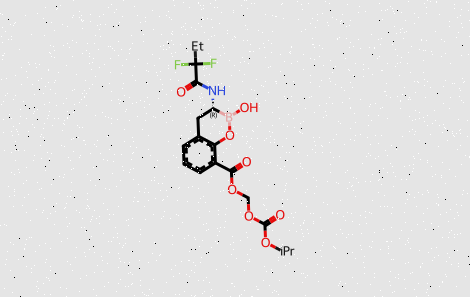 CCC(F)(F)C(=O)N[C@H]1Cc2cccc(C(=O)OCOC(=O)OC(C)C)c2OB1O